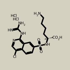 Cl.Cl.N=C(N)Nc1ncc(Cl)c2ccc(S(=O)(=O)N[C@H](CCCCN)C(=O)O)cc12